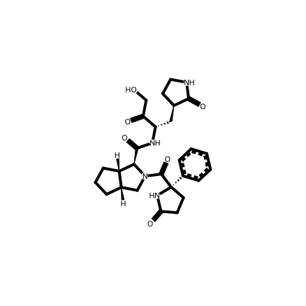 O=C1CC[C@@](C(=O)N2C[C@@H]3CCC[C@@H]3[C@H]2C(=O)N[C@@H](C[C@H]2CCNC2=O)C(=O)CO)(c2ccccc2)N1